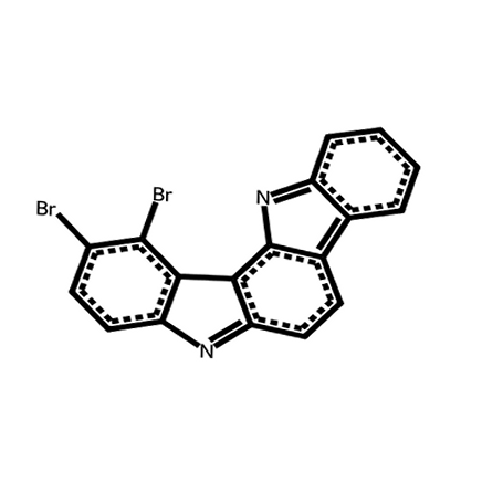 Brc1ccc2c(c1Br)-c1c3c(ccc1=N2)=c1ccccc1=N3